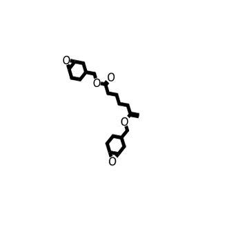 C=C(CCCCC(=O)OCC1CCC2OC2C1)OCC1CCC2OC2C1